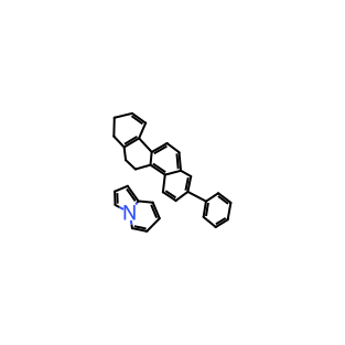 C1=CC2=C(CC1)CCc1c2ccc2cc(-c3ccccc3)ccc12.c1ccn2cccc2c1